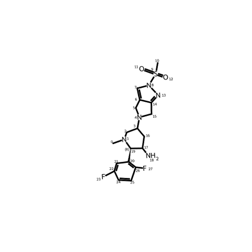 CN1CC(N2Cc3cn(S(C)(=O)=O)nc3C2)CC(N)[C@H]1c1cc(F)ccc1F